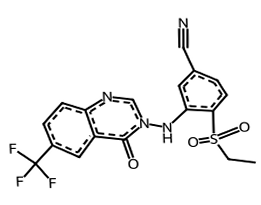 CCS(=O)(=O)c1ccc(C#N)cc1Nn1cnc2ccc(C(F)(F)F)cc2c1=O